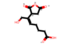 O=C(O)CCC/C=C(/CO)C1CC(=O)OC1=O